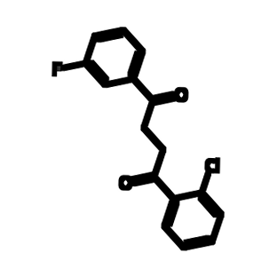 O=C(CCC(=O)c1ccccc1Cl)c1cccc(F)c1